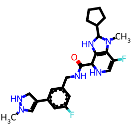 CN1C=C(c2cc(F)cc(CNC(=O)C3NC=C(F)C4=C3NC(C3CCCC3)N4C)c2)CN1